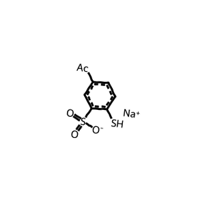 CC(=O)c1ccc(S)c(S(=O)(=O)[O-])c1.[Na+]